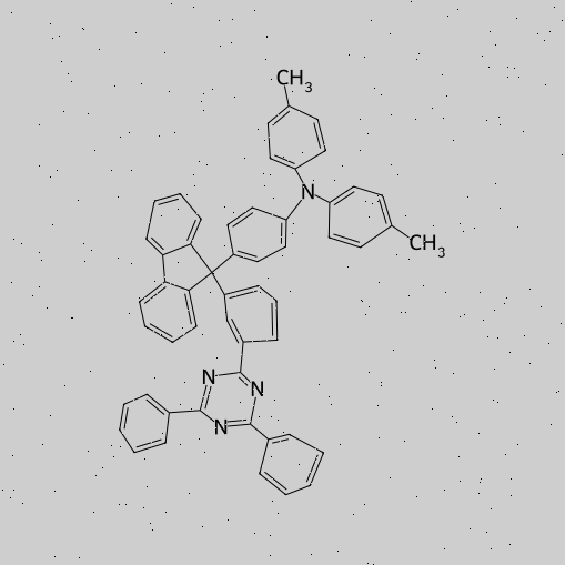 Cc1ccc(N(c2ccc(C)cc2)c2ccc(C3(c4cccc(-c5nc(-c6ccccc6)nc(-c6ccccc6)n5)c4)c4ccccc4-c4ccccc43)cc2)cc1